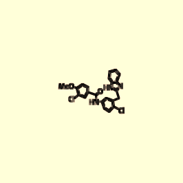 COc1ccc(C(=O)Nc2ccc(Cl)c(Cc3nc4ccccc4[nH]3)c2)cc1Cl